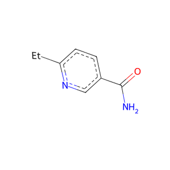 CCc1ccc(C(N)=O)cn1